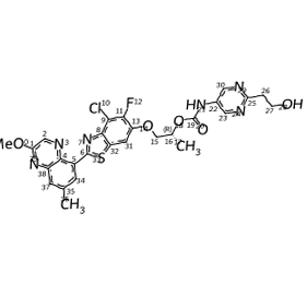 COc1cnc2c(-c3nc4c(Cl)c(F)c(OC[C@@H](C)OC(=O)Nc5cnc(CCO)nc5)cc4s3)cc(C)cc2n1